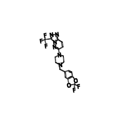 FC1(F)Oc2ccc(CN3CCN(c4ccc5nnc(C(F)(F)F)n5n4)CC3)cc2O1